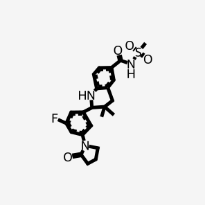 CC1(C)Cc2cc(C(=O)NS(C)(=O)=O)ccc2NC1c1cc(F)cc(N2CCCC2=O)c1